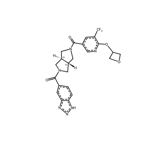 O=C(c1cnc(OC2COC2)c(C(F)(F)F)c1)N1C[C@@H]2CN(C(=O)c3ccc4[nH]nnc4c3)C[C@H]2C1